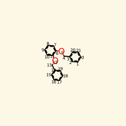 c1ccc(COc2ccccc2OCc2ccccc2)cc1